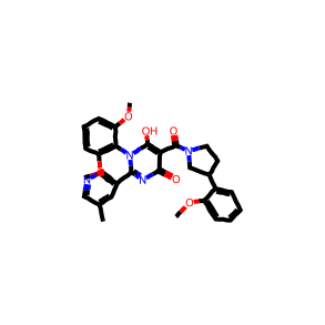 COc1ccccc1C1CCN(C(=O)c2c(O)n(-c3c(OC)cccc3OC)c(-c3cncc(C)c3)nc2=O)C1